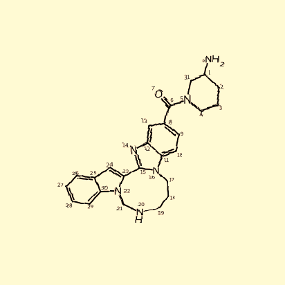 NC1CCCN(C(=O)c2ccc3c(c2)nc2n3CCCNCn3c-2cc2ccccc23)C1